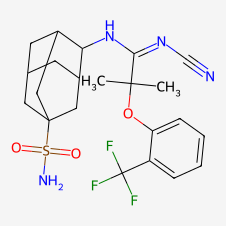 CC(C)(Oc1ccccc1C(F)(F)F)/C(=N\C#N)NC1C2CC3CC1CC(S(N)(=O)=O)(C3)C2